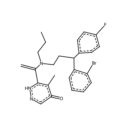 C=C(c1[nH]ncc(=O)c1C)N(CCC)CCC(c1ccc(F)cc1)c1ccccc1Br